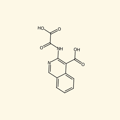 O=C(O)C(=O)Nc1ncc2ccccc2c1C(=O)O